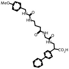 COc1ccc(CNC(=O)NCCCC(=O)NCC(=O)NCC(C(=O)O)c2ccc(-c3ccccc3)cc2)cc1